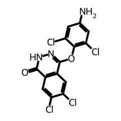 Nc1cc(Cl)c(Oc2n[nH]c(=O)c3cc(Cl)c(Cl)cc23)c(Cl)c1